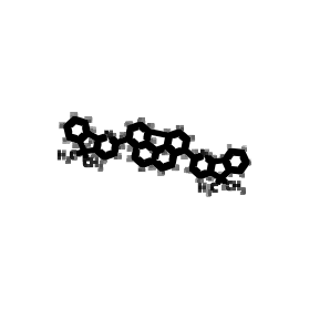 CC1(C)c2ccccc2-c2nc(-c3ccc4c5c3ccc3ccc6c(-c7ccc8c(n7)-c7ccccc7C8(C)C)ccc-4c6c35)ccc21